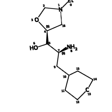 CCN1CO[C@H](C(O)[C@@H](N)CC2CCCCC2)C1